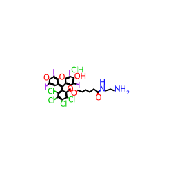 Cl.NCCCNC(=O)CCCCCOC(=O)c1c(Cl)c(Cl)c(Cl)c(Cl)c1-c1c2cc(I)c(=O)c(I)c-2oc2c(I)c(O)c(I)cc12